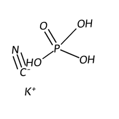 O=P(O)(O)O.[C-]#N.[K+]